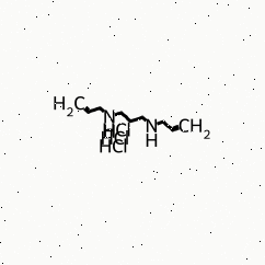 C=CCNCCCNCC=C.Cl.Cl.Cl